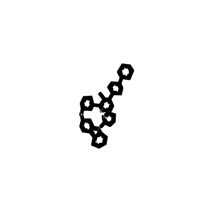 Cc1c(-c2ccc(-c3ccccc3)cc2)ccnc1-c1cccc(Oc2ccc3c4ccccc4n(-c4ccccn4)c3c2)c1